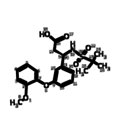 COc1ccccc1Oc1cccc([C@@H](CC(=O)O)NS(=O)(=O)C(C)(C)C)c1